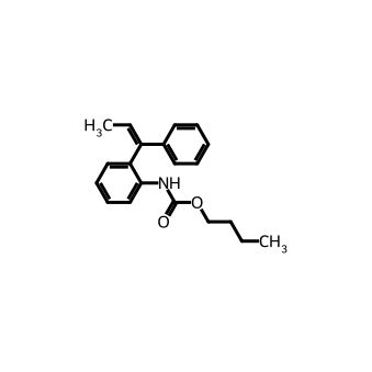 CC=C(c1ccccc1)c1ccccc1NC(=O)OCCCC